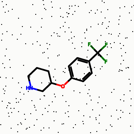 FC(F)(F)c1ccc(OC2CCCNC2)cc1